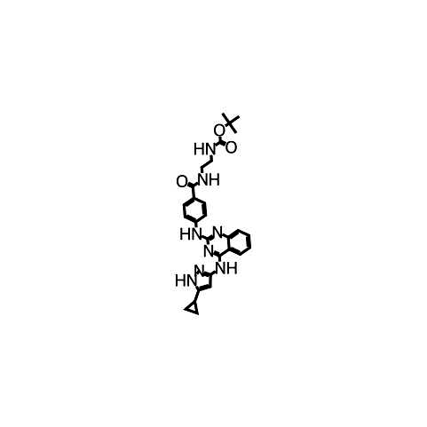 CC(C)(C)OC(=O)NCCNC(=O)c1ccc(Nc2nc(Nc3cc(C4CC4)[nH]n3)c3ccccc3n2)cc1